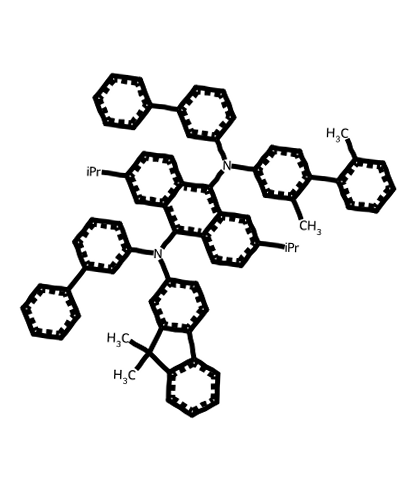 Cc1ccccc1-c1ccc(N(c2cccc(-c3ccccc3)c2)c2c3ccc(C(C)C)cc3c(N(c3cccc(-c4ccccc4)c3)c3ccc4c(c3)C(C)(C)c3ccccc3-4)c3ccc(C(C)C)cc23)cc1C